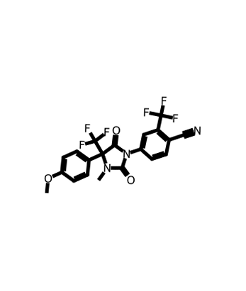 COc1ccc(C2(C(F)(F)F)C(=O)N(c3ccc(C#N)c(C(F)(F)F)c3)C(=O)N2C)cc1